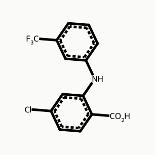 O=C(O)c1ccc(Cl)cc1Nc1cccc(C(F)(F)F)c1